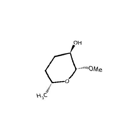 CO[C@@H]1O[C@H](C)CC[C@H]1O